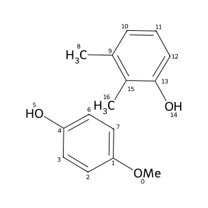 COc1ccc(O)cc1.Cc1cccc(O)c1C